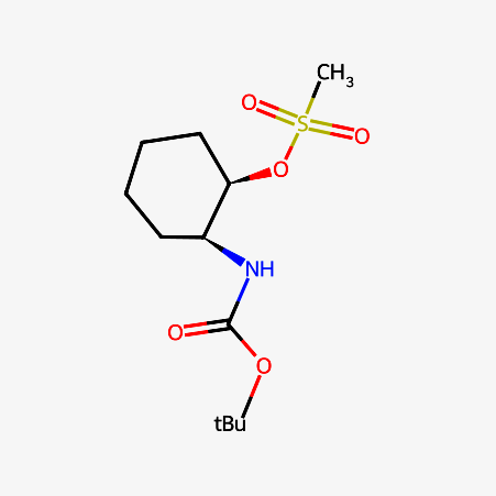 CC(C)(C)OC(=O)N[C@H]1CCCC[C@H]1OS(C)(=O)=O